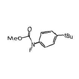 COC(=O)N(F)c1ccc(C(C)(C)C)cc1